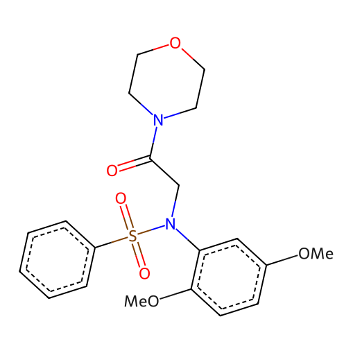 COc1ccc(OC)c(N(CC(=O)N2CCOCC2)S(=O)(=O)c2ccccc2)c1